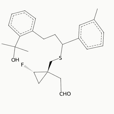 Cc1cccc(C(CCc2ccccc2C(C)(C)O)SC[C@@]2(CC=O)C[C@@H]2F)c1